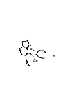 O[C@H](c1c(C2CC2)ccn2cncc12)[C@]1(S)CC[C@@H](O)CC1